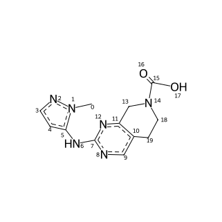 Cn1nccc1Nc1ncc2c(n1)CN(C(=O)O)CC2